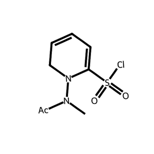 CC(=O)N(C)N1CC=CC=C1S(=O)(=O)Cl